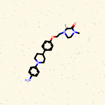 C[C@@H]1C(=O)N(C)CCN1CCOc1ccc(C2CCN(c3ccc(N)cc3)CC2)cc1